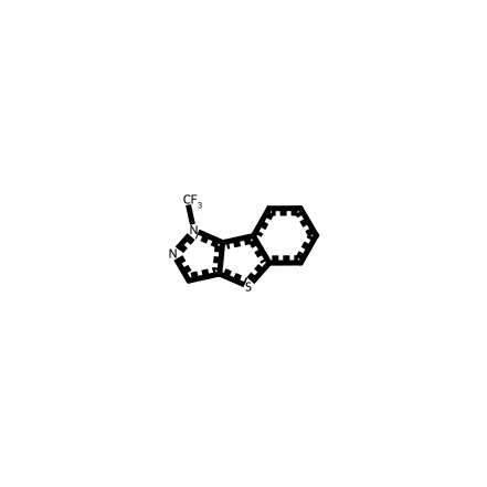 FC(F)(F)n1ncc2sc3ccccc3c21